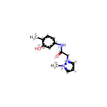 Cc1ccc(NC(=O)C[n+]2cccn2C)cc1O